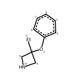 CCC1(Oc2ccccc2)CNC1